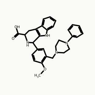 COc1ccc(C2NC(C(=O)O)Cc3c2[nH]c2ccccc32)cc1CN1CCN(c2ccccc2)CC1